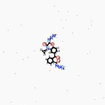 [N-]=[N+]=NC(=O)c1ccccc1C(=O)c1ccc2c(c1)N(C1CC1)C(=O)C(N=[N+]=[N-])O2